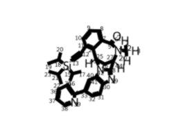 [2H]C([2H])([2H])N1C(=O)c2cccc(C#C[Si](C(C)C)(C(C)C)C(C)C)c2[C@H]2C[C@@H]1c1nc3ccc(-c4ccccn4)cc3n12